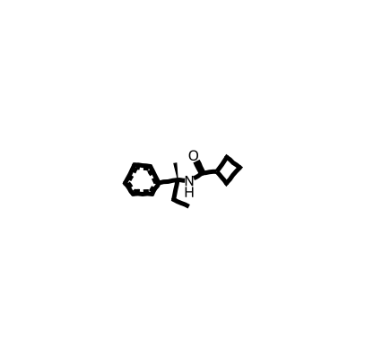 CC[C@@](C)(NC(=O)C1CCC1)c1ccccc1